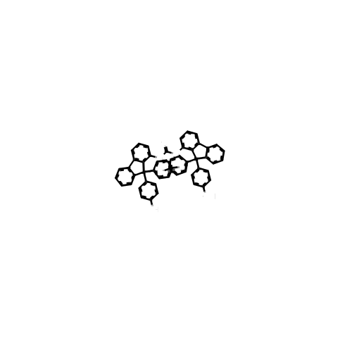 O=C(Oc1cccc2c1C(c1ccc(O)cc1)(c1ccc(O)cc1)c1ccccc1-2)Oc1cccc2c1C(c1ccc(O)cc1)(c1ccc(O)cc1)c1ccccc1-2